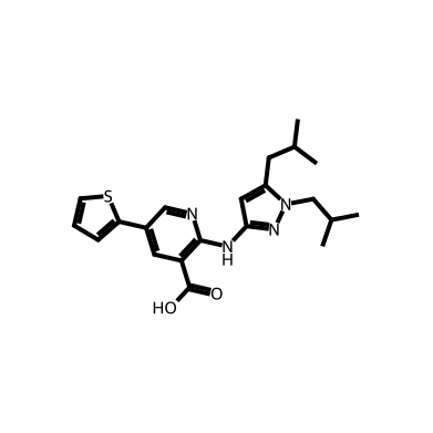 CC(C)Cc1cc(Nc2ncc(-c3cccs3)cc2C(=O)O)nn1CC(C)C